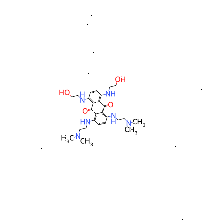 CN(C)CCNc1ccc(NCCN(C)C)c2c1C(=O)c1c(NCCO)ccc(NCCO)c1C2=O